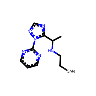 CSCCNC(C)c1ncnn1-c1ncccn1